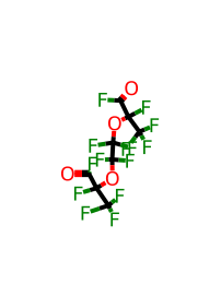 O=C(F)C(F)(OC(F)(F)C(F)(F)OC(F)(C(=O)F)C(F)(F)F)C(F)(F)F